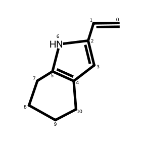 C=Cc1cc2c([nH]1)CCCC2